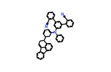 N#Cc1ccccc1-c1cc(-c2ccccc2C#N)cc(N(C2=CC=CC(C3CC=C4c5ccccc5-c5cccc3c54)C2)c2ccccc2)c1